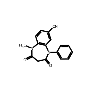 CN1C(=O)CC(=O)N(c2ccccc2)c2cc(C#N)ccc21